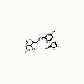 Nc1cc[nH]c(=O)n1.O=C1CC=CO1.O=CC(O)C(O)C(O)CO